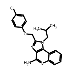 CC(C)Cn1c(COc2ccc(Cl)cc2)nc2c(N)nc3ccccc3c21